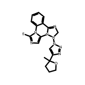 CC1(c2cn(N3CN=C4c5ccccc5-n5c(cnc5F)N43)nn2)CCCO1